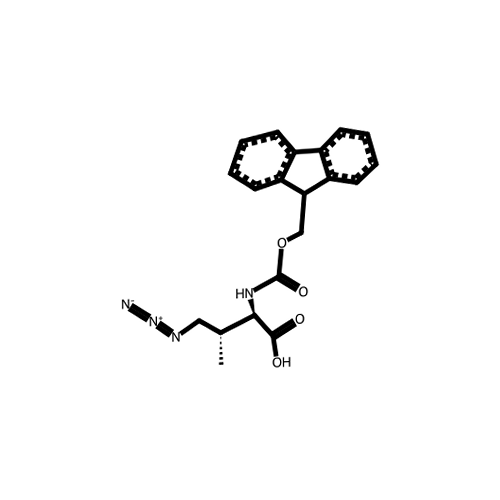 C[C@H](CN=[N+]=[N-])[C@@H](NC(=O)OCC1c2ccccc2-c2ccccc21)C(=O)O